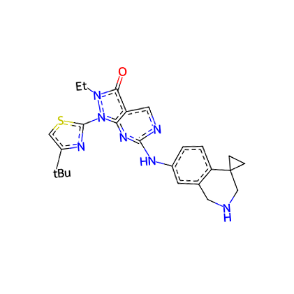 CCn1c(=O)c2cnc(Nc3ccc4c(c3)CNCC43CC3)nc2n1-c1nc(C(C)(C)C)cs1